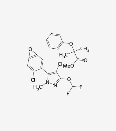 COC(=O)C(C)(C)Oc1ccccc1.Cn1nc(OC(F)F)c(Cl)c1-c1cc2c(cc1Cl)O2